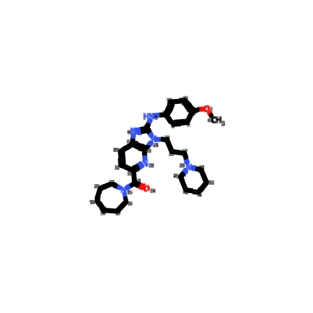 COc1ccc(Nc2nc3ccc(C(=O)N4CCCCCC4)nc3n2CCCN2CCCCC2)cc1